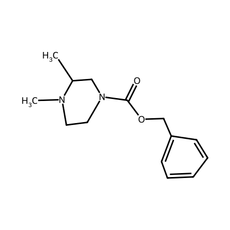 CC1CN(C(=O)OCc2ccccc2)CCN1C